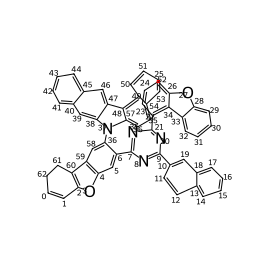 C1=Cc2oc3cc(-c4nc(-c5ccc6ccccc6c5)nc(-c5cccc6oc7ccccc7c56)n4)c(-n4c5cc6ccccc6cc5c5c6ccccc6ccc54)cc3c2CC1